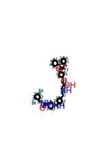 CC(C)(C)[Si](Oc1[c]cc(OC[C@@H](O)CNCCc2ccc(NC3CCN(C(=O)NCc4cc(F)ccc4F)CC3)cc2)cc1)(c1ccccc1)c1ccccc1